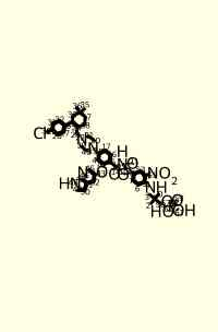 CC(C)(CNc1ccc(S(=O)(=O)NC(=O)c2ccc(N3CCN(CC4=C(c5ccc(Cl)cc5)CC(C)(C)CC4)CC3)cc2Oc2cnc3[nH]ccc3c2)cc1[N+](=O)[O-])COP(=O)(O)O